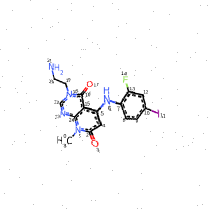 Cn1c(=O)cc(Nc2ccc(I)cc2F)c2c(=O)n(CCN)cnc21